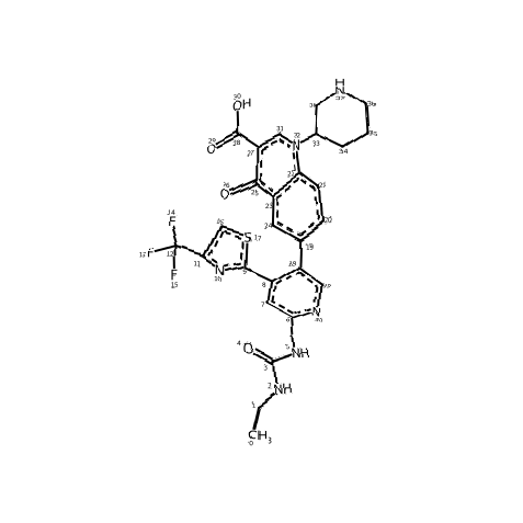 CCNC(=O)Nc1cc(-c2nc(C(F)(F)F)cs2)c(-c2ccc3c(c2)c(=O)c(C(=O)O)cn3C2CCCNC2)cn1